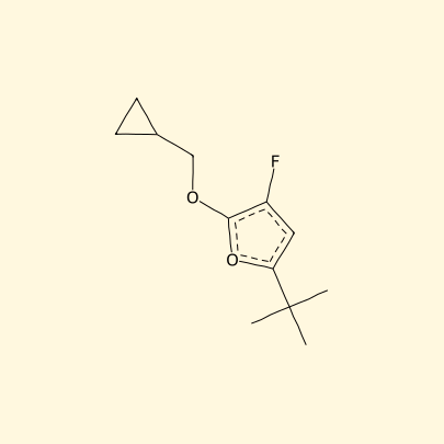 CC(C)(C)c1cc(F)c(OCC2CC2)o1